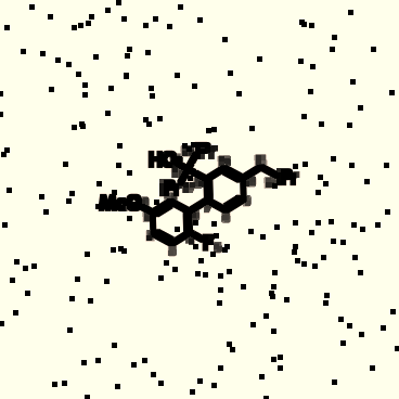 COc1ccc(F)c(-c2ccc(CC(C)C)cc2C(O)(C(C)C)C(C)C)c1